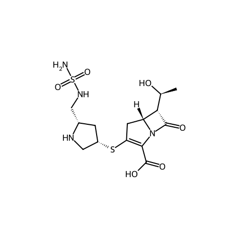 C[C@H](O)[C@@H]1C(=O)N2C(C(=O)O)=C(S[C@@H]3CN[C@H](CNS(N)(=O)=O)C3)C[C@H]12